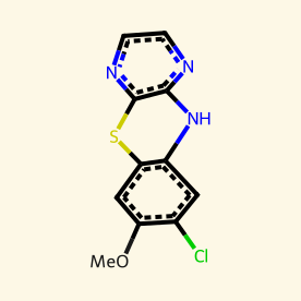 COc1cc2c(cc1Cl)Nc1nccnc1S2